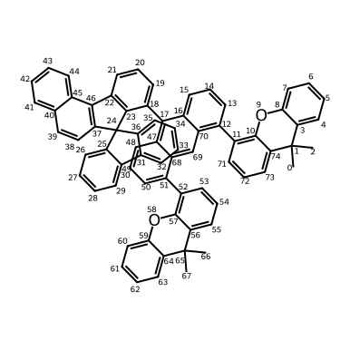 CC1(C)c2ccccc2Oc2c(-c3cccc4c(-c5cccc6c5C5(c7ccccc7-c7ccccc75)c5ccc7ccccc7c5-6)c5cccc(-c6cccc7c6Oc6ccccc6C7(C)C)c5cc34)cccc21